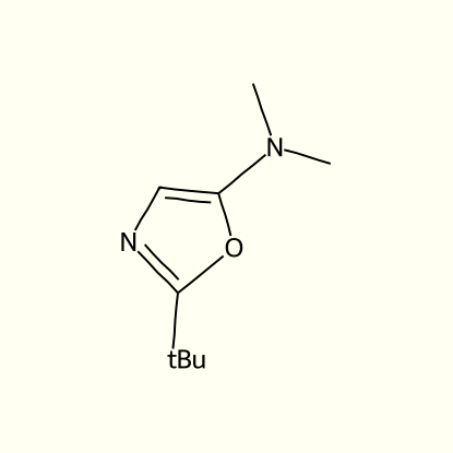 CN(C)c1cnc(C(C)(C)C)o1